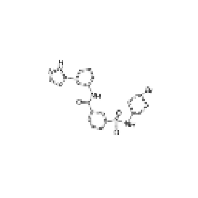 O=C(Nc1cccc(-c2ccn[nH]2)c1)c1cccc(S(=O)(=O)Nc2ccc(Br)cc2)c1